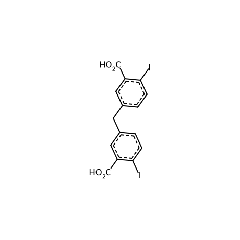 O=C(O)c1cc(Cc2ccc(I)c(C(=O)O)c2)ccc1I